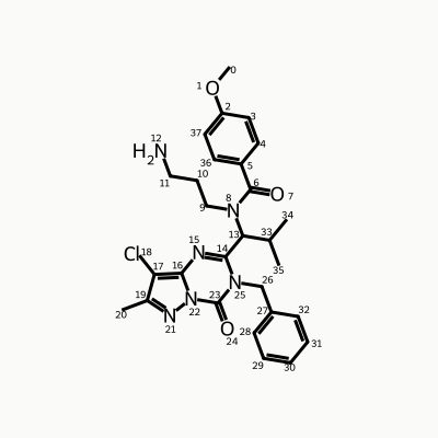 COc1ccc(C(=O)N(CCCN)C(c2nc3c(Cl)c(C)nn3c(=O)n2Cc2ccccc2)C(C)C)cc1